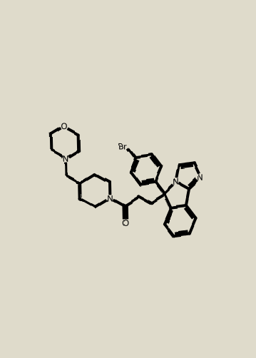 O=C(CCC1(c2ccc(Br)cc2)c2ccccc2-c2nccn21)N1CCC(CN2CCOCC2)CC1